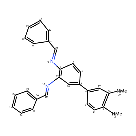 CNc1ccc(-c2ccc(N=Cc3ccccc3)c(N=Cc3ccccc3)c2)cc1NC